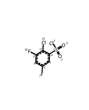 O=S(=O)(Cl)c1cc(F)cc(F)c1Cl